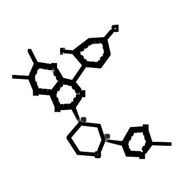 Cc1ncc([C@H]2C[C@@H](c3nc(-c4ccc(Cl)cc4F)c4nc(C)c(C)nc4n3)CCO2)cn1